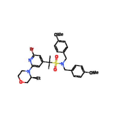 CC[C@H]1COCCN1c1cc(C(C)(C)S(=O)(=O)N(Cc2ccc(OC)cc2)Cc2ccc(OC)cc2)cc(Br)n1